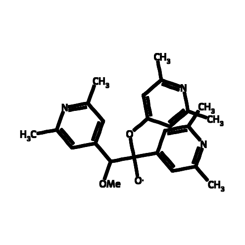 COC(c1cc(C)nc(C)c1)C([O])(Oc1cc(C)nc(C)c1)c1cc(C)nc(C)c1